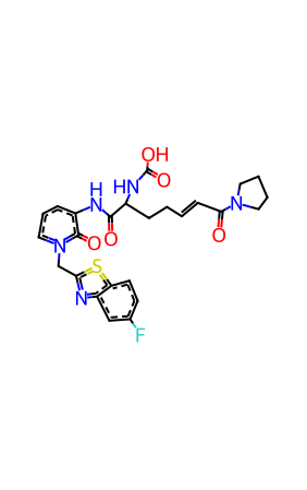 O=C(O)NC(CC/C=C/C(=O)N1CCCC1)C(=O)Nc1cccn(Cc2nc3cc(F)ccc3s2)c1=O